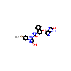 CSc1ccc(-n2nc(O)cc2NC(=O)Nc2ccc(Oc3ccnc4[nH]c(=O)cnc34)c3ccccc23)cc1